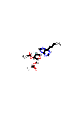 C=CCCc1ncnc2c1ncn2[C@@H]1O[C@H](COC(C)=O)[C@@H](OC(C)=O)[C@H]1F